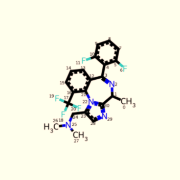 CC1N=C(c2c(F)cccc2F)c2cccc(C(F)(F)F)c2-n2c(CN(C)C)cnc21